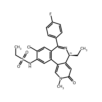 CC[C@@H]1N=C(c2ccc(F)cc2)c2cc(Cl)c(NS(=O)(=O)CC)cc2-c2cn(C)c(=O)cc21